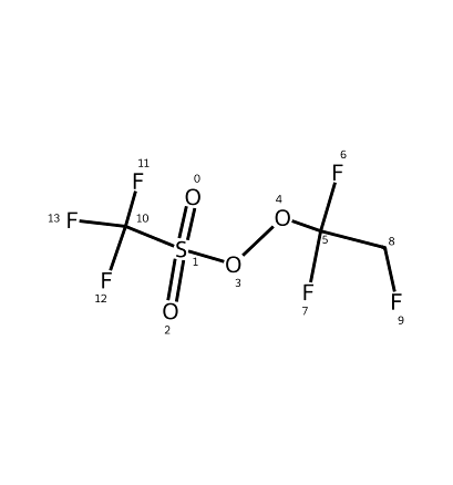 O=S(=O)(OOC(F)(F)CF)C(F)(F)F